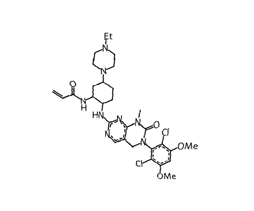 C=CC(=O)NC1CC(N2CCN(CC)CC2)CCC1Nc1ncc2c(n1)N(C)C(=O)N(c1c(Cl)c(OC)cc(OC)c1Cl)C2